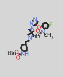 CC(C)C(=O)N(C)c1cc(F)ccc1Oc1cncnc1N1CC2(CN(CCC3CCC(NC(=O)OC(C)(C)C)CC3)C2)C1